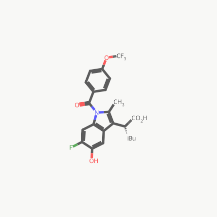 CC[C@@H](C)C(C(=O)O)c1c(C)n(C(=O)c2ccc(OC(F)(F)F)cc2)c2cc(F)c(O)cc12